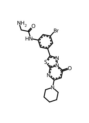 NCC(=O)Nc1cc(Br)cc(-c2nn3c(=O)cc(N4CCCCC4)nc3s2)c1